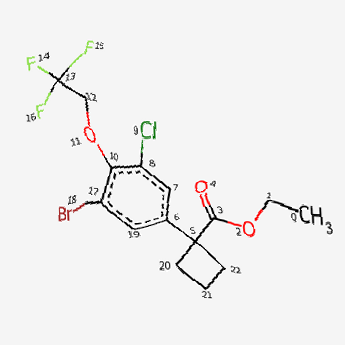 CCOC(=O)C1(c2cc(Cl)c(OCC(F)(F)F)c(Br)c2)CCC1